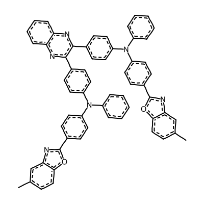 Cc1ccc2oc(-c3ccc(N(c4ccccc4)c4ccc(-c5nc6ccccc6nc5-c5ccc(N(c6ccccc6)c6ccc(-c7nc8cc(C)ccc8o7)cc6)cc5)cc4)cc3)nc2c1